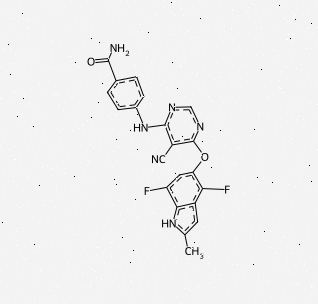 Cc1cc2c(F)c(Oc3ncnc(Nc4ccc(C(N)=O)cc4)c3C#N)cc(F)c2[nH]1